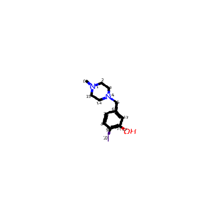 CN1CCN(Cc2ccc(I)c(O)c2)CC1